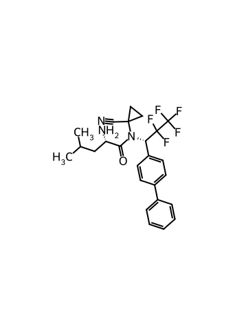 CC(C)C[C@H](N)C(=O)N([C@@H](c1ccc(-c2ccccc2)cc1)C(F)(F)C(F)(F)F)C1(C#N)CC1